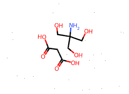 NC(CO)(CO)CO.O=C(O)CC(=O)O